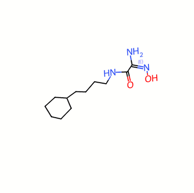 N/C(=N/O)C(=O)NCCCCC1CCCCC1